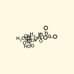 C[C@@H](O)[C@H]1C(=O)N2C(C(=O)O)=C(CN3CC[C@H](NC(=O)c4ccc(OCc5ccccc5)c(OCc5ccccc5)c4Cl)C3)[C@H](C)[C@H]12